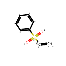 C=[13CH]S(=O)(=O)c1ccccc1